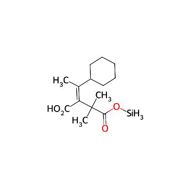 CC(=C(C(=O)O)C(C)(C)C(=O)O[SiH3])C1CCCCC1